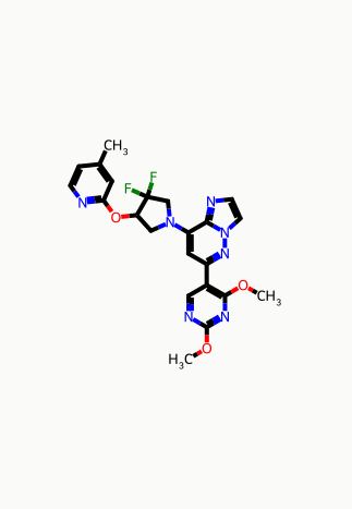 COc1ncc(-c2cc(N3CC(Oc4cc(C)ccn4)C(F)(F)C3)c3nccn3n2)c(OC)n1